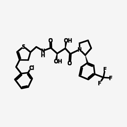 O=C(NCC1CC(Cc2ccccc2Cl)=CS1)[C@H](O)[C@@H](O)C(=O)N1CCC[C@@H]1c1cccc(C(F)(F)F)c1